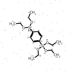 CCO[SiH](OCC)c1ccc([Si](OCC)(OCC)OCC)cc1